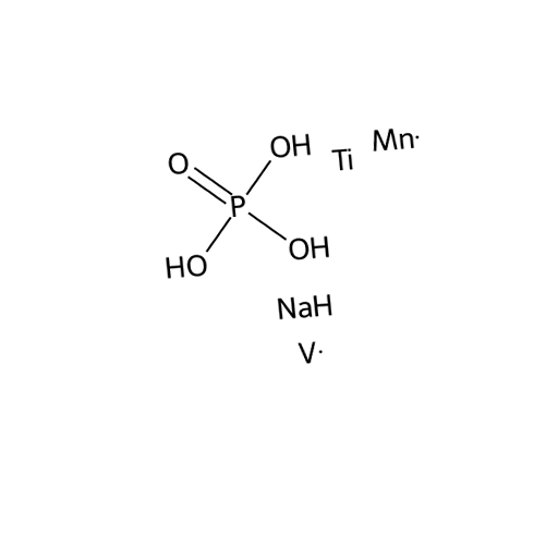 O=P(O)(O)O.[Mn].[NaH].[Ti].[V]